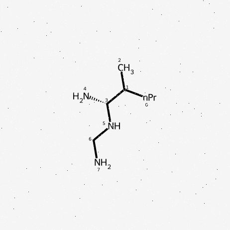 CCCC(C)[C@@H](N)NCN